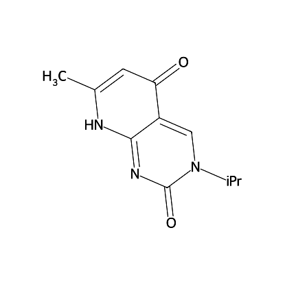 Cc1cc(=O)c2cn(C(C)C)c(=O)nc2[nH]1